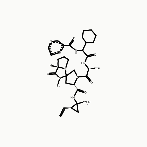 C=C[C@@H]1CC1(NC(=O)[C@@H]1CC2(CN1C(=O)[C@@H](NC(=O)[C@@H](NC(=O)c1cnccn1)C1CCCCC1)C(C)(C)C)N(CC)C(=O)[C@@H]1CCCN12)C(=O)O